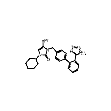 CCCc1cn(C2CCCCC2)c(=O)n1Cc1ccc(-c2ccccc2-c2nnn[nH]2)cc1